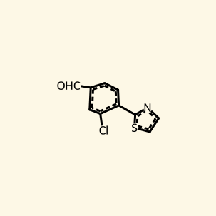 O=Cc1ccc(-c2nccs2)c(Cl)c1